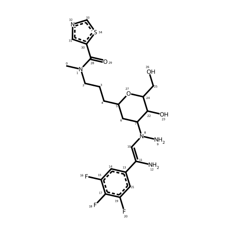 CN(CCCC1CC(N(N)/C=C(\N)c2cc(F)c(F)c(F)c2)C(O)C(CO)O1)C(=O)c1cncs1